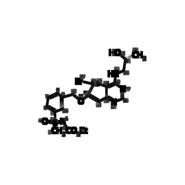 CCOC(=O)N=S(C)(=O)c1cccc(COc2cc3ncnc(NC[C@@H](C)O)c3cc2Br)c1